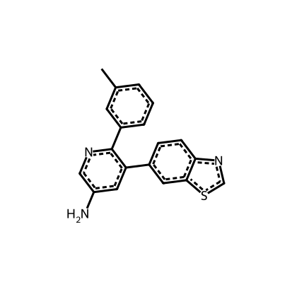 Cc1cccc(-c2ncc(N)cc2-c2ccc3ncsc3c2)c1